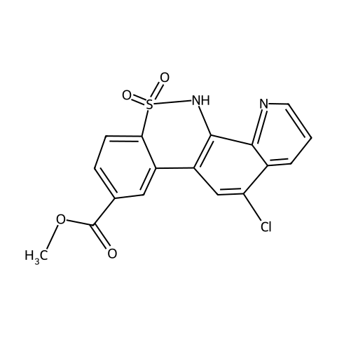 COC(=O)c1ccc2c(c1)-c1cc(Cl)c3cccnc3c1NS2(=O)=O